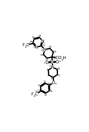 O=C(O)C1(S(=O)(=O)N2CCC(Oc3ccc(C(F)(F)F)cc3)CC2)CCN(c2nccc(C(F)(F)F)n2)CC1